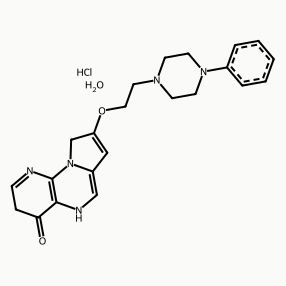 Cl.O.O=C1CC=NC2=C1NC=C1C=C(OCCN3CCN(c4ccccc4)CC3)CN12